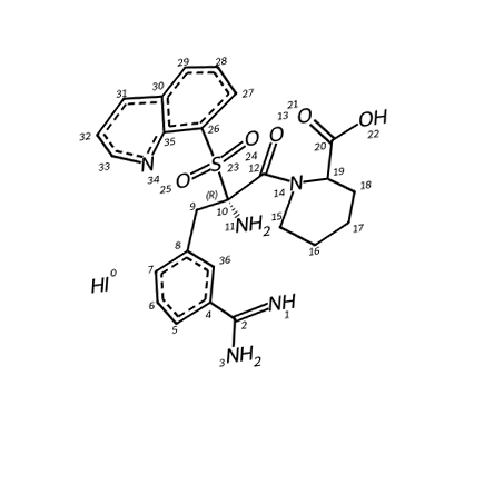 I.N=C(N)c1cccc(C[C@](N)(C(=O)N2CCCCC2C(=O)O)S(=O)(=O)c2cccc3cccnc23)c1